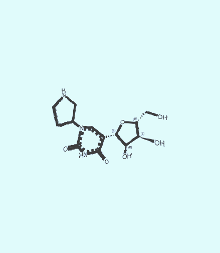 O=c1[nH]c(=O)n(C2CCNC2)cc1[C@@H]1O[C@H](CO)[C@@H](O)[C@H]1O